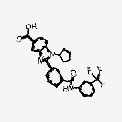 O=C(O)c1ccc2c(c1)nc(-c1cccc(C(=O)Nc3cccc(C(F)(F)F)c3)c1)n2C1CCCC1